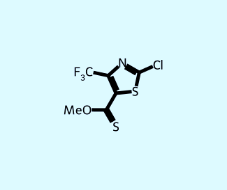 COC(=S)c1sc(Cl)nc1C(F)(F)F